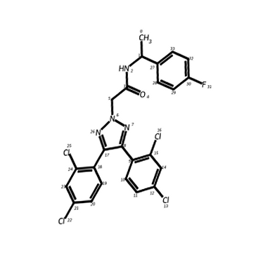 CC(NC(=O)Cn1nc(-c2ccc(Cl)cc2Cl)c(-c2ccc(Cl)cc2Cl)n1)c1ccc(F)cc1